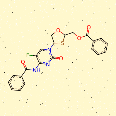 O=C(Nc1nc(=O)n(C2COC(COC(=O)c3ccccc3)S2)cc1F)c1ccccc1